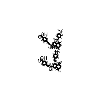 CN(C)c1ccc(CN(C)c2cc(C(O)C#Cc3ccc(C(=O)O)cc3)cc3c2C(C)(C)CCC3(C)C)cc1.CN(C)c1ccc(CSc2cc(C(O)C=Cc3ccc(C(=O)O)cc3)cc3c2C(C)(C)CCC3(C)C)cc1